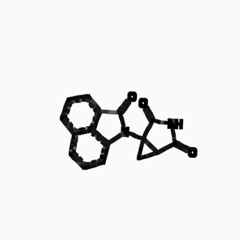 O=C1NC(=O)C2(N3C(=O)c4cccc5cccc3c45)CC12